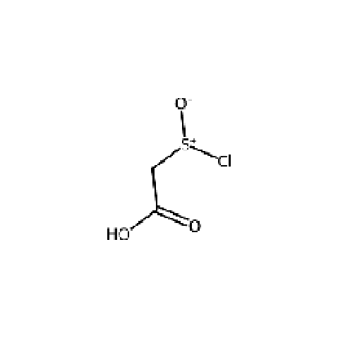 O=C(O)C[S+]([O-])Cl